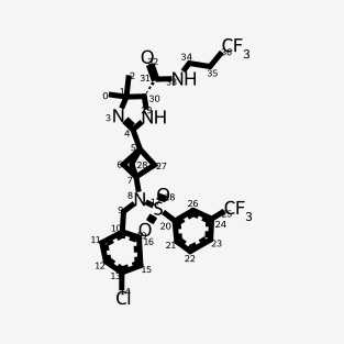 CC1(C)N=C(C23CC(N(Cc4ccc(Cl)cc4)S(=O)(=O)c4cccc(C(F)(F)F)c4)(C2)C3)N[C@H]1C(=O)NCCC(F)(F)F